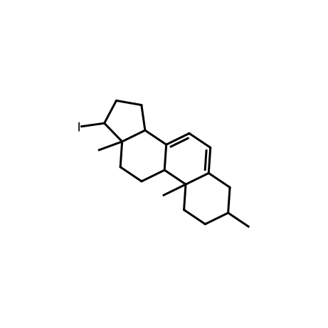 CC1CCC2(C)C(=CC=C3C2CCC2(C)C(I)CCC32)C1